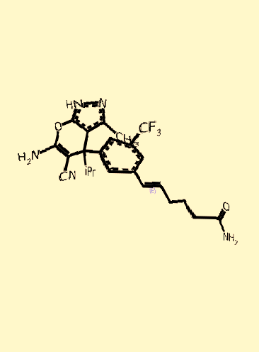 Cc1n[nH]c2c1C(c1cc(/C=C/CCCC(N)=O)cc(C(F)(F)F)c1)(C(C)C)C(C#N)=C(N)O2